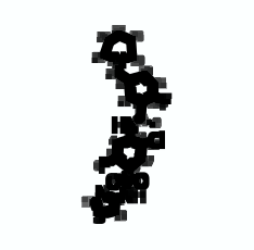 C[C@H](Nc1cc(F)c(S(=O)(=O)Nc2cscn2)cc1Cl)c1cc(CN2CCCCC2)ccc1F